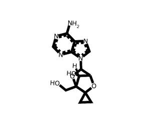 Nc1ncnc2c1ncn2C1OC2(CO)[C@H](O)C1OC21CC1